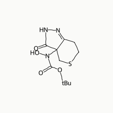 CC(C)(C)OC(=O)N(O)C12CSCCC1=NNC2=O